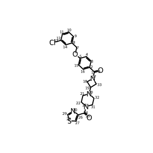 O=C(c1ccc(OCc2cccc(Cl)c2)cc1)N1CC(N2CCN(C(=O)c3cscn3)CC2)C1